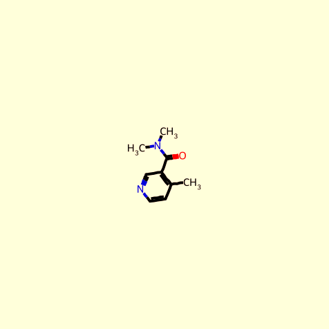 Cc1ccncc1C(=O)N(C)C